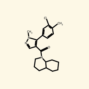 Cc1ccc(-c2c(C(=O)N3CCCC4CCCCC43)cnn2C)cc1Cl